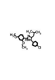 CCOc1cc(OC)ccc1C1=NC(CC(C)C)C(c2ccc(Cl)cc2)N1